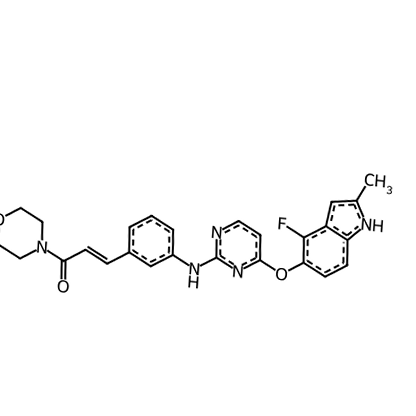 Cc1cc2c(F)c(Oc3ccnc(Nc4cccc(/C=C/C(=O)N5CCOCC5)c4)n3)ccc2[nH]1